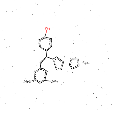 COc1cc(/C=C(/c2ccc(O)cc2)[c-]2cccc2)cc(OC)c1.[Fe+2].c1cc[cH-]c1